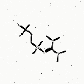 CN(C)C(=N[Si](C)(C)CCC(F)(F)F)N(C)C